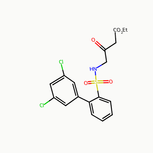 CCOC(=O)CC(=O)CNS(=O)(=O)c1ccccc1-c1cc(Cl)cc(Cl)c1